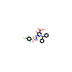 O=C(O)c1cn(C(c2ccccc2)c2ccccc2)c2sc(NS(=O)(=O)c3ccc(Cl)cc3F)nc2c1=O